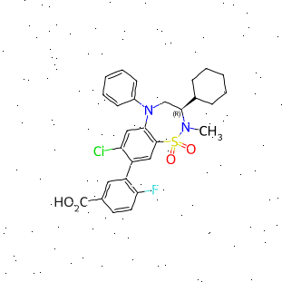 CN1[C@H](C2CCCCC2)CN(c2ccccc2)c2cc(Cl)c(-c3cc(C(=O)O)ccc3F)cc2S1(=O)=O